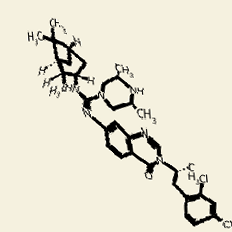 C[C@H]1[C@@H](NC(=Nc2ccc3c(=O)n([C@H](C)Cc4ccc(Cl)cc4Cl)cnc3c2)N2C[C@H](C)N[C@@H](C)C2)C[C@@H]2C[C@@H]1C2(C)C